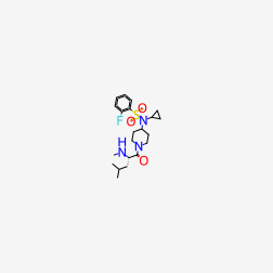 CN[C@@H](CC(C)C)C(=O)N1CCC(N(C2CC2)S(=O)(=O)c2ccccc2F)CC1